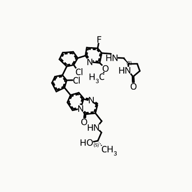 COc1nc(-c2cccc(-c3cccc(-c4ccn5c(=O)c(CNC[C@H](C)O)cnc5c4)c3Cl)c2Cl)cc(F)c1CNC[C@H]1CCC(=O)N1